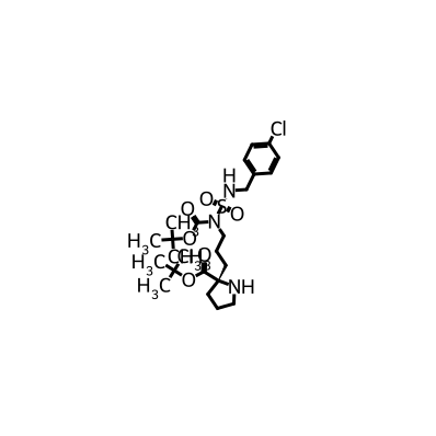 CC(C)(C)OC(=O)N(CCC[C@]1(C(=O)OC(C)(C)C)CCCN1)S(=O)(=O)NCc1ccc(Cl)cc1